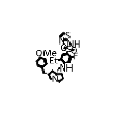 CCc1cc(S(=O)(=O)Nc2nccs2)c(F)cc1NC[C@]12CCCN1C[C@@H](Cc1ccc(OC)cc1)C2